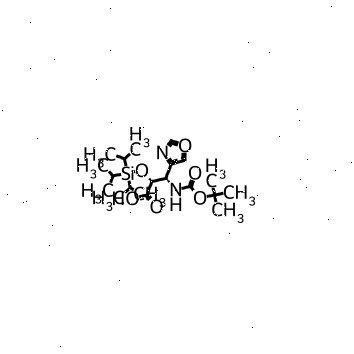 CC(C)[Si](O[C@@H](C(=O)O)[C@@H](NC(=O)OC(C)(C)C)c1cocn1)(C(C)C)C(C)C